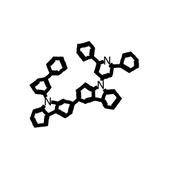 c1ccc(-c2cccc(-n3c4ccccc4c4ccc(-c5ccc6c(c5)c5ccccc5n6-c5cc(-c6ccccc6)nc(-c6ccccc6)c5)cc43)c2)cc1